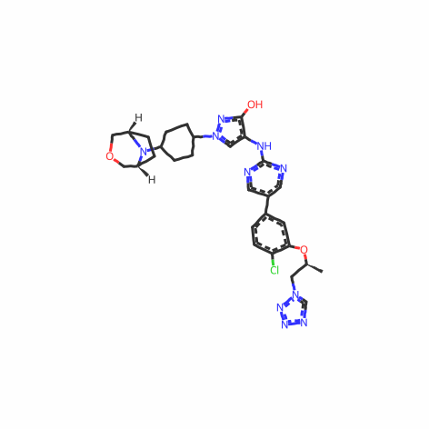 C[C@@H](Cn1cnnn1)Oc1cc(-c2cnc(Nc3cn(C4CCC(N5[C@@H]6CC[C@H]5COC6)CC4)nc3O)nc2)ccc1Cl